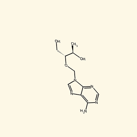 C[C@@H](O)[C@@H](CO)OCn1cnc2c(N)ncnc21